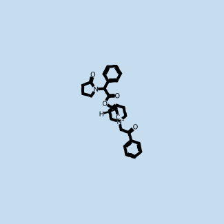 O=C(C[N+]12CCC(CC1)[C@@H](OC(=O)C(c1ccccc1)N1CCCC1=O)C2)c1ccccc1